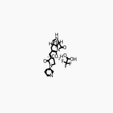 O=C(O)C(F)(F)F.O=C(O)C1=C(/C=C2\CCN(c3cccnc3)C2=O)C[C@@H]2CN[C@@H]3C(=O)N1[C@H]23